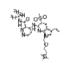 [2H]C([2H])([2H])NC(=O)c1nnccc1Nc1nc2c(cc1S(C)(=O)=O)c(C=C)cn2COCC[Si](C)(C)C